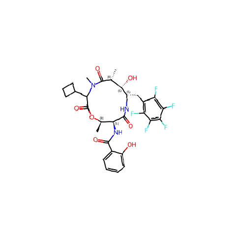 C[C@H]1OC(=O)C(C2CCC2)N(C)C(=O)[C@H](C)[C@H](O)[C@H](Cc2c(F)c(F)c(F)c(F)c2F)NC(=O)[C@H]1NC(=O)c1ccccc1O